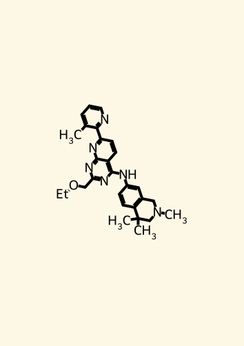 CCOCc1nc(Nc2ccc3c(c2)CN(C)CC3(C)C)c2ccc(-c3ncccc3C)nc2n1